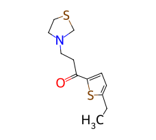 CCc1ccc(C(=O)CCN2CCSC2)s1